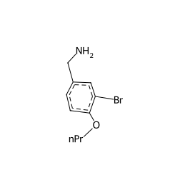 CCCOc1ccc(CN)cc1Br